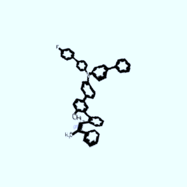 C/C(=C/c1ccccc1-c1cc(-c2ccc(N(c3ccc(-c4ccccc4)cc3)c3ccc(-c4ccc(F)cc4)cc3)cc2)ccc1C)c1ccccc1